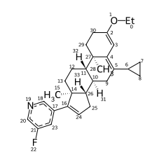 CCOC1=CC2=C(C3CC3)C[C@@H]3[C@H](CC[C@]4(C)C(c5cncc(F)c5)=CC[C@@H]34)[C@@]2(C)CC1